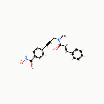 CN(CC#Cc1ccc(C(=O)NO)cc1)C(=O)C=Cc1ccccc1